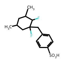 CC1CC(C)C(F)C(F)(Cc2ccc(S(=O)(=O)O)cc2)C1